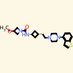 COC1CN(C(=O)N[C@H]2C[C@@H](CCN3CCN(c4cccc5sccc45)CC3)C2)C1